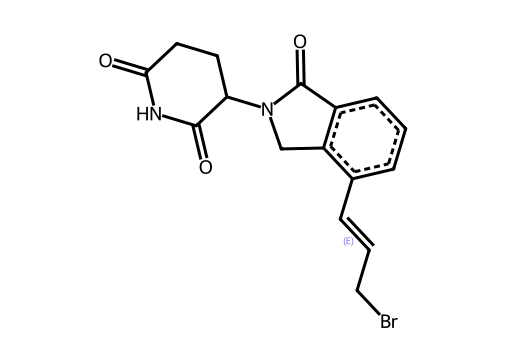 O=C1CCC(N2Cc3c(/C=C/CBr)cccc3C2=O)C(=O)N1